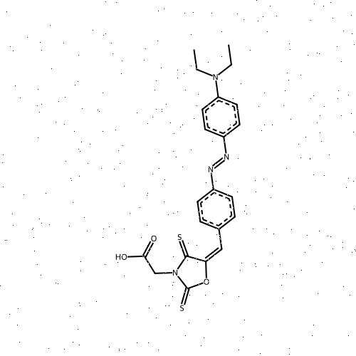 CCN(CC)c1ccc(/N=N/c2ccc(/C=C3/OC(=S)N(CC(=O)O)C3=S)cc2)cc1